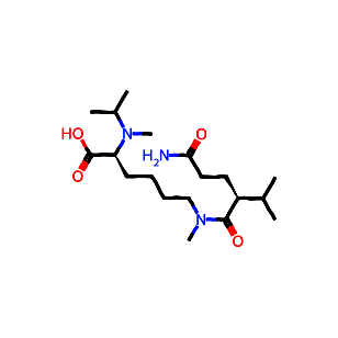 CC(C)[C@H](CCC(N)=O)C(=O)N(C)CCCC[C@@H](C(=O)O)N(C)C(C)C